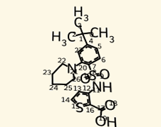 CC(C)(C)c1ccc(S(=O)(=O)Nc2ccsc2C(=O)O)c(N2CCCCC2)c1